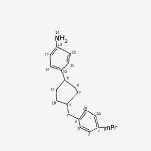 CCCc1ccc(CC2CCC(c3ccc(N)cc3)CC2)cc1